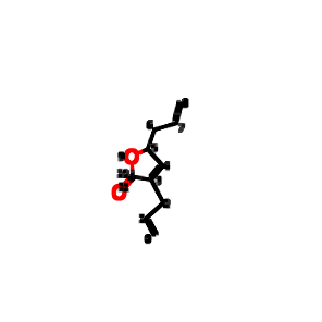 C=CCC1=CC(CC=C)OC1=O